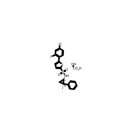 C[C@]1(c2ccccc2)C[C@@H]1NS(=O)(=O)c1ccc(-c2ccc(Cl)cc2F)s1.O=C(O)O